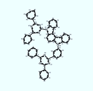 c1ccc(-c2nc(-c3ccccc3)nc(-c3cccc(-n4c5ccccc5c5c6c7ccccc7n(-c7nc(-c8ccccc8)nc(-c8ccccc8)n7)c6ccc54)c3)n2)cc1